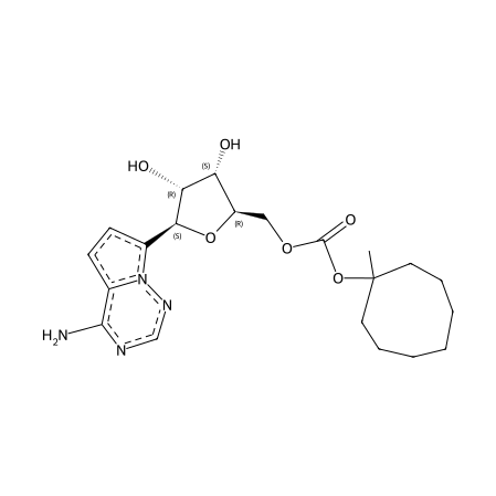 CC1(OC(=O)OC[C@H]2O[C@@H](c3ccc4c(N)ncnn34)[C@H](O)[C@@H]2O)CCCCCCC1